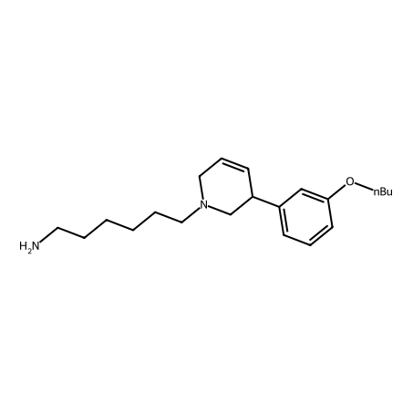 CCCCOc1cccc(C2C=CCN(CCCCCCN)C2)c1